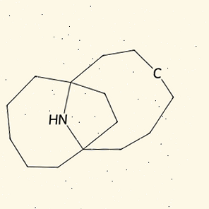 C1CCCC23CCCCCC(CC1)(CC2)N3